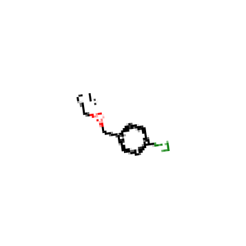 [CH2]COCc1ccc(Cl)cc1